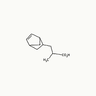 CC(CC1CC2C=CC1C2)C(=O)O